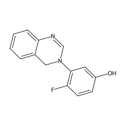 Oc1ccc(F)c(N2C=Nc3ccccc3C2)c1